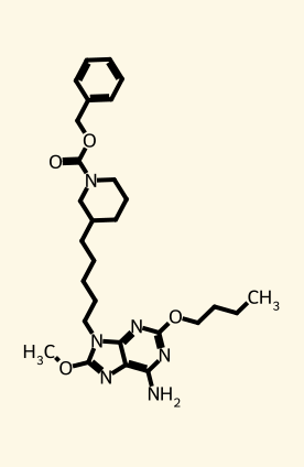 CCCCOc1nc(N)c2nc(OC)n(CCCCCC3CCCN(C(=O)OCc4ccccc4)C3)c2n1